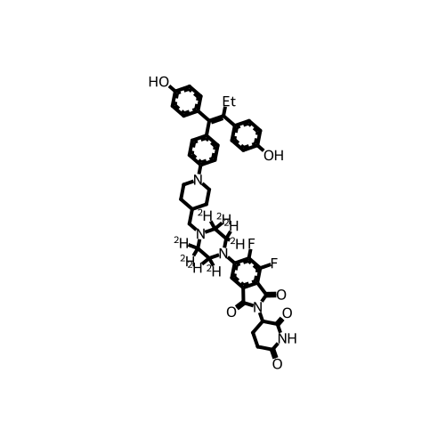 [2H]C1([2H])N(CC2CCN(c3ccc(C(=C(CC)c4ccc(O)cc4)c4ccc(O)cc4)cc3)CC2)C([2H])([2H])C([2H])([2H])N(c2cc3c(c(F)c2F)C(=O)N(C2CCC(=O)NC2=O)C3=O)C1([2H])[2H]